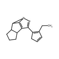 CCC1=C(c2nn3c4c2C2CCCC2C43)CC=C1